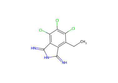 CCc1c(Cl)c(Cl)c(Cl)c2c1C(=N)NC2=N